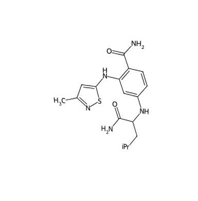 Cc1cc(Nc2cc(NC(CC(C)C)C(N)=O)ccc2C(N)=O)sn1